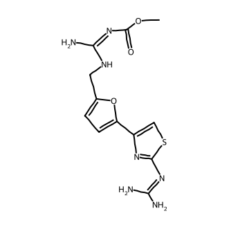 COC(=O)/N=C(/N)NCc1ccc(-c2csc(N=C(N)N)n2)o1